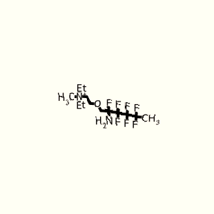 CC[N+](C)(CC)CCOCC(N)(F)C(F)(F)C(F)(F)C(C)(F)F